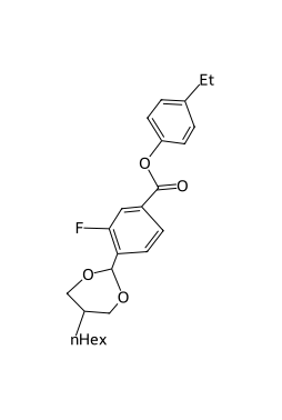 CCCCCCC1COC(c2ccc(C(=O)Oc3ccc(CC)cc3)cc2F)OC1